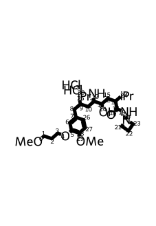 COCCCOc1cc(CC(CC(N)C(O)CC(C(=O)NN2CCC2)C(C)C)C(C)C)ccc1OC.Cl.Cl